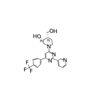 OC[C@@H]1CCN(c2cc(-c3ccc(C(F)(F)F)cc3)nc(-c3cccnc3)n2)C[C@@H]1O